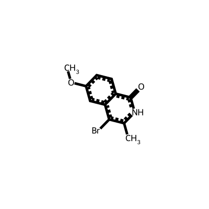 COc1ccc2c(=O)[nH]c(C)c(Br)c2c1